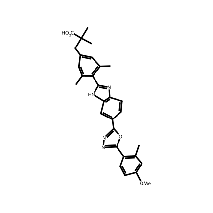 COc1ccc(-c2nnc(-c3ccc4nc(-c5c(C)cc(CC(C)(C)C(=O)O)cc5C)[nH]c4c3)o2)c(C)c1